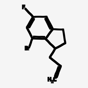 C=CCC1CCc2cc(F)cc(Br)c21